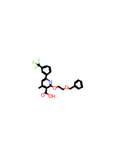 Cc1cc(-c2cccc(C(F)(F)F)c2)nc(OCCOCc2ccccc2)c1C(=O)O